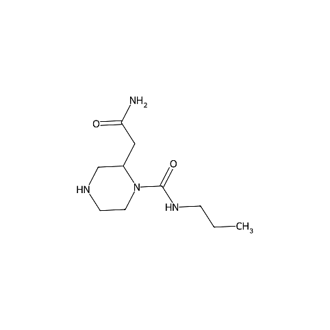 CCCNC(=O)N1CCNCC1CC(N)=O